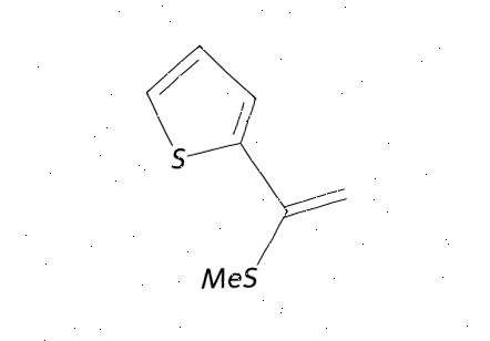 C=C(SC)c1cccs1